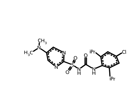 CC(C)c1cc(Cl)cc(C(C)C)c1NC(=O)NS(=O)(=O)c1ncc(N(C)C)cn1